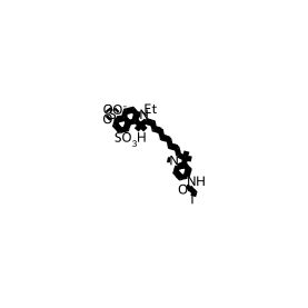 CCN1C(=CC=CC=CC=CC2=[N+](C)c3ccc(NC(=O)CI)cc3C2(C)C)C(C)(C)c2c1ccc1c(S(=O)(=O)[O-])cc(S(=O)(=O)O)cc21